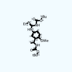 CC/N=C(/NC(=O)OC(C)(C)C)Nc1ccc(OC)c(C(C)NC(=O)OC(C)(C)C)c1